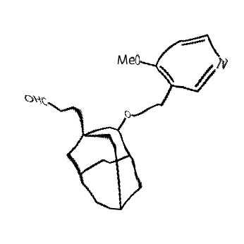 COc1ccncc1COC1C2CC3CC(C2)CC1(CC=O)C3